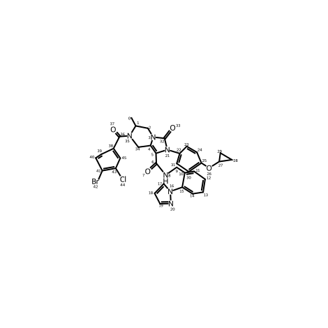 CC1Cn2c(c(C(=O)NCc3ccccc3-n3cccn3)n(-c3ccc(OC4CC4)cc3)c2=O)CN1C(=O)c1ccc(Br)c(Cl)c1